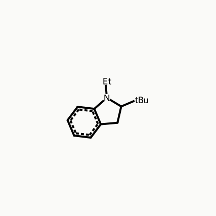 CCN1c2ccccc2CC1C(C)(C)C